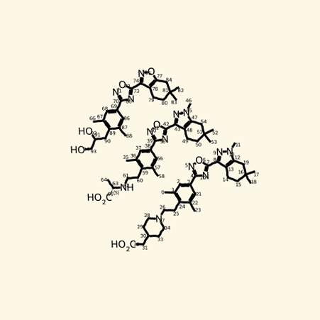 Cc1cc(-c2noc(-c3nn(C)c4c3CCC(C)(C)C4)n2)cc(C)c1CCN1CCC(CC(=O)O)CC1.Cc1cc(-c2noc(-c3nn(C)c4c3CCC(C)(C)C4)n2)cc(C)c1CCN[C@@H](C)C(=O)O.Cc1cc(-c2noc(-c3noc4c3CCC(C)(C)C4)n2)cc(C)c1CC(O)CO